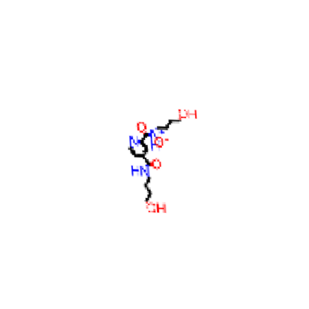 O=C(NCCCCO)c1ccnc(C(=O)[NH+]([O-])CCCCO)c1